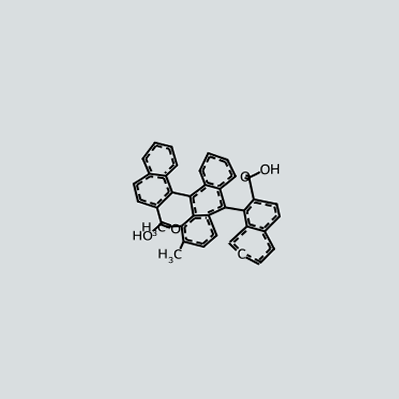 Cc1ccc2c(-c3c(C(=O)O)ccc4ccccc34)c3ccccc3c(-c3c(C(=O)O)ccc4ccccc34)c2c1C